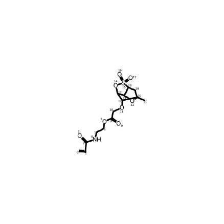 C=CC(=O)NCCOC(=O)COC1C2OS(=O)(=O)C3CC1(C)OC23